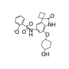 COc1ccccc1S(=O)(=O)Nc1cc(OC2CCC(O)CC2)c2c(c1)C1(CCC1)C(=O)N2